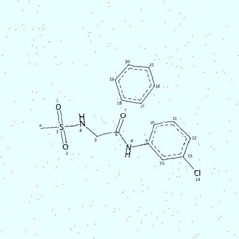 CS(=O)(=O)NCC(=O)Nc1cccc(Cl)c1.c1ccccc1